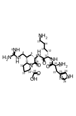 N=C(N)NCCC[C@H](NC(=O)[C@H](CCCCN)NC(=O)[C@@H](N)Cc1c[nH]cn1)C(=O)N1CCC[C@H]1C(=O)O